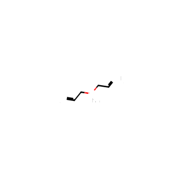 C=CCOCC=C.[Na]